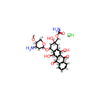 CO[C@@H]1[C@H](C)O[C@@H](O[C@H]2C[C@](O)(COC(N)=O)Cc3c(O)c4c(c(O)c32)C(=O)c2ccccc2C4=O)C[C@@H]1N.Cl